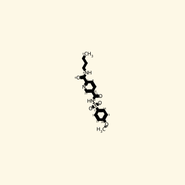 CCCCNC(=O)c1ccc(C(=O)NS(=O)(=O)c2ccc(OC)cc2)cn1